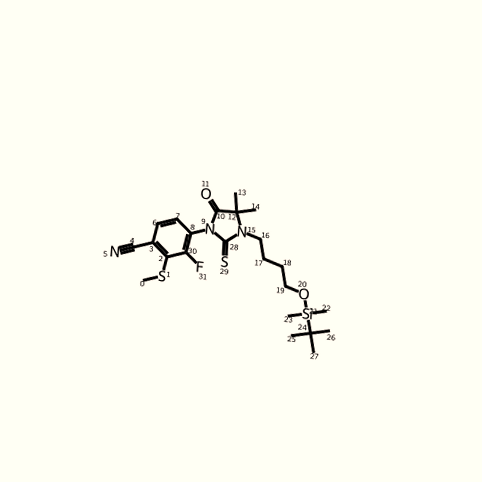 CSc1c(C#N)ccc(N2C(=O)C(C)(C)N(CCCCO[Si](C)(C)C(C)(C)C)C2=S)c1F